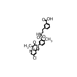 Cc1ccc(NC(=O)[C@H](C)n2ncc(Cl)cc2=O)cc1S(=O)(=O)NCCc1cccc(C(=O)O)c1